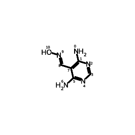 Nc1ncnc(N)c1/C=N/O